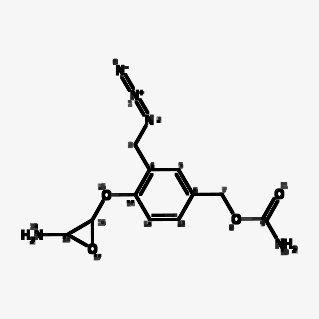 [N-]=[N+]=NCc1cc(COC(N)=O)ccc1OC1OC1N